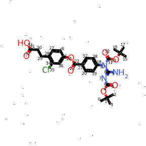 CC(C)(C)OC(=O)N=C(N)N(C(=O)OC(C)(C)C)c1ccc(C(=O)Oc2ccc(CCC(=O)O)c(Cl)c2)cc1